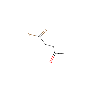 CC(=O)CCC([S])=S